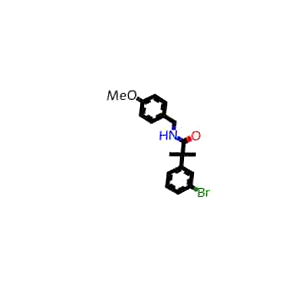 COc1ccc(CNC(=O)C(C)(C)c2cccc(Br)c2)cc1